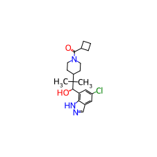 CC(C)(C1CCN(C(=O)C2CCC2)CC1)[C@H](O)c1cc(Cl)cc2cn[nH]c12